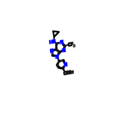 COc1ccc(-n2cnc3c(NC4CC4)nc(C(F)(F)F)nc32)cn1